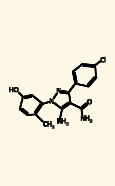 Cc1ccc(O)cc1-n1nc(-c2ccc(Cl)cc2)c(C(N)=O)c1N